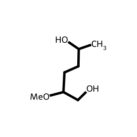 COC(CO)CCC(C)O